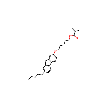 C=C(C)C(=O)OCCCCCOc1ccc2c(c1)Cc1cc(CCCCC)ccc1-2